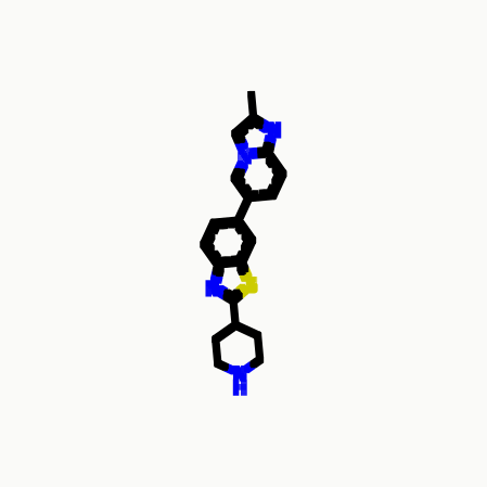 Cc1cn2cc(-c3ccc4nc(C5CCNCC5)sc4c3)ccc2n1